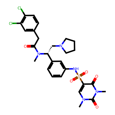 CN(C(=O)Cc1ccc(Cl)c(Cl)c1)[C@H](CN1CCCC1)c1cccc(NS(=O)(=O)c2cn(C)c(=O)n(C)c2=O)c1